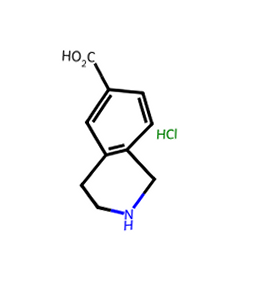 Cl.O=C(O)c1ccc2c(c1)CCNC2